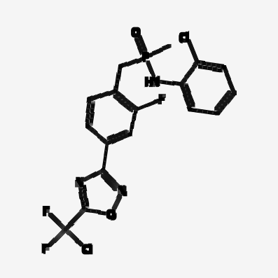 CP(=O)(Cc1ccc(-c2noc(C(F)(F)Cl)n2)cc1F)Nc1ccccc1Cl